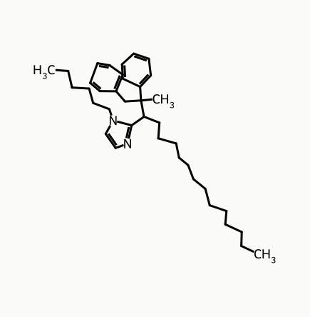 CCCCCCCCCCCCCC(c1nccn1CCCCCC)C(C)(Cc1ccccc1)c1ccccc1